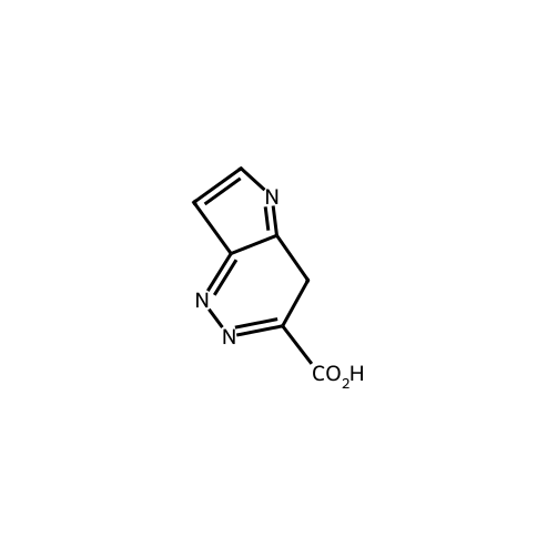 O=C(O)C1=NN=C2C=CN=C2C1